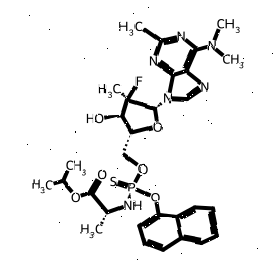 Cc1nc(N(C)C)c2ncn([C@@H]3O[C@H](CO[P@@](=S)(N[C@H](C)C(=O)OC(C)C)Oc4cccc5ccccc45)[C@@H](O)[C@@]3(C)F)c2n1